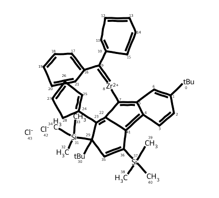 CC(C)(C)c1ccc2c(c1)=[C]([Zr+2]=[C](c1ccccc1)c1ccccc1)C1=C(C3=CC=CC3)C(C(C)(C)C)([Si](C)(C)C)C=C([Si](C)(C)C)C=21.[Cl-].[Cl-]